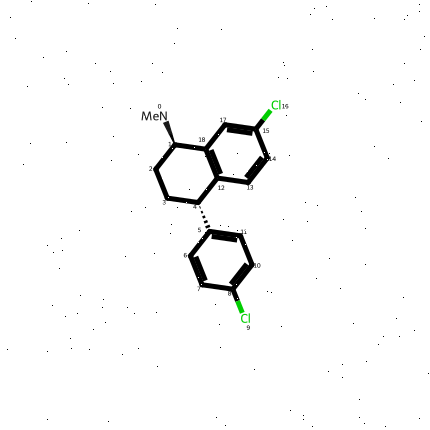 CN[C@@H]1CC[C@@H](c2ccc(Cl)cc2)c2ccc(Cl)cc21